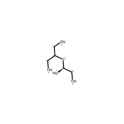 OCC(CO)O[C@H](O)CO